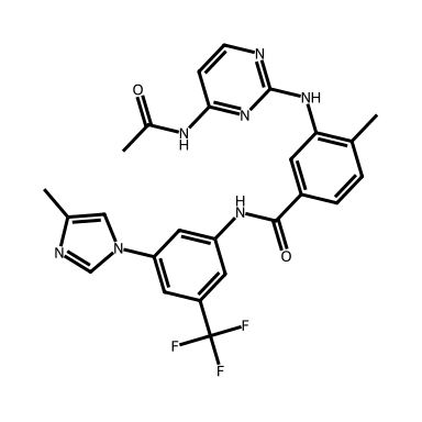 CC(=O)Nc1ccnc(Nc2cc(C(=O)Nc3cc(-n4cnc(C)c4)cc(C(F)(F)F)c3)ccc2C)n1